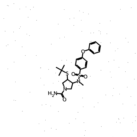 CN(C1CN(C(N)=O)CC1SC(C)(C)C)S(=O)(=O)c1ccc(Oc2ccccc2)cc1